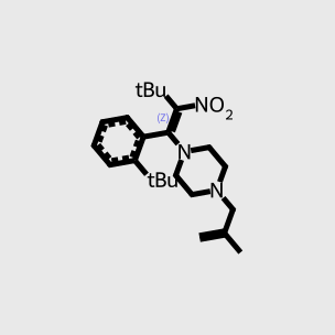 C=C(C)CN1CCN(/C(=C(\[N+](=O)[O-])C(C)(C)C)c2ccccc2C(C)(C)C)CC1